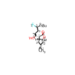 CCCC[C@H](F)C/C=C(/O)[C@@H]1C(=O)O[C@H]2C[C@H](C)C[C@@H]21